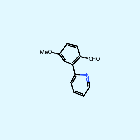 COc1ccc(C=O)c(-c2ccccn2)c1